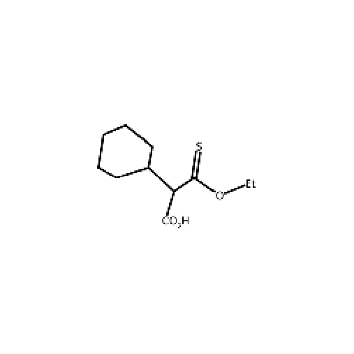 CCOC(=S)C(C(=O)O)C1CCCCC1